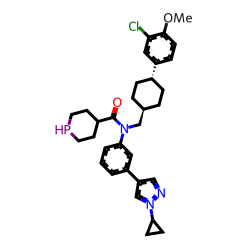 COc1ccc([C@H]2CC[C@H](CN(C(=O)C3CCPCC3)c3cccc(-c4cnn(C5CC5)c4)c3)CC2)cc1Cl